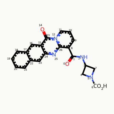 O=C(NC1CN(C(=O)O)C1)c1cccn2c(=O)c3cc4ccccc4cc3nc12